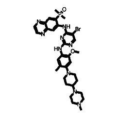 COc1cc(N2CCC(N3CCN(C)CC3)CC2)c(C)cc1Nc1ncc(Br)c(Nc2cc3nccnc3cc2P(C)(C)=O)n1